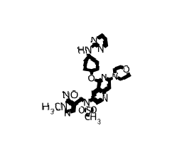 Cn1ncc(CN(c2cnc3cc(N4CCOCC4)nc(OC4CCC(Nc5ncccn5)CC4)c3c2)S(C)(=O)=O)c1[N+](=O)[O-]